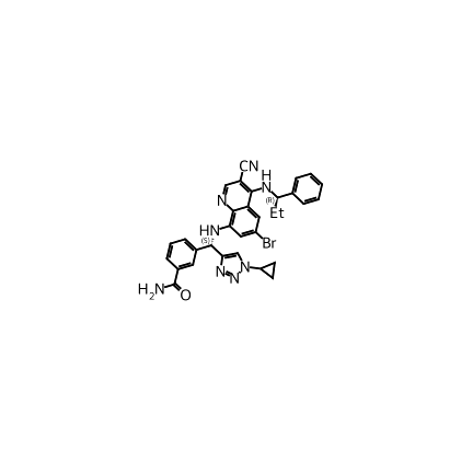 CC[C@@H](Nc1c(C#N)cnc2c(N[C@@H](c3cccc(C(N)=O)c3)c3cn(C4CC4)nn3)cc(Br)cc12)c1ccccc1